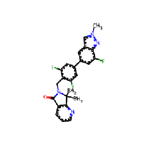 BC1(B)c2ncccc2C(=O)N1Cc1c(F)cc(-c2cc(F)c3nn(C)cc3c2)cc1F